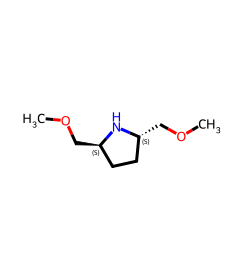 COC[C@@H]1CC[C@@H](COC)N1